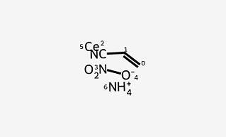 C=CC#N.O=[N+]([O-])[O-].[Ce].[NH4+]